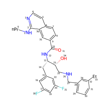 CCCNc1nccc2ccc(C(=O)N[C@@H](Cc3cc(F)cc(F)c3)[C@H](O)CNCc3cccc(CC)c3)cc12